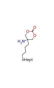 CCCCCCCCCCCC1(N)COC(=O)OC1